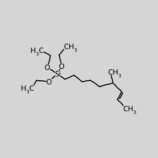 CC=CC(C)CCCCC[Si](OCC)(OCC)OCC